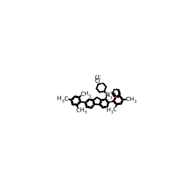 Cc1cc(C)c(-c2ccc3c(c2)Cc2c-3ccc(-c3c(C)cc(C)cc3C)[c]2[Ti+2]([C]2=CC=CC2)=[C]2CCCCC2)c(C)c1.[Cl-].[Cl-]